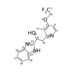 Cc1c(OCC(F)(F)F)ccnc1CC(O)c1nc2ccccc2[nH]1